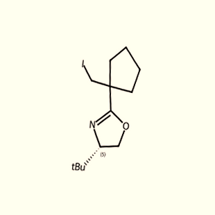 CC(C)(C)[C@H]1COC(C2(CI)CCCC2)=N1